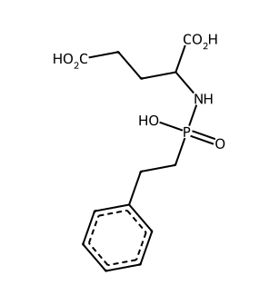 O=C(O)CCC(NP(=O)(O)CCc1ccccc1)C(=O)O